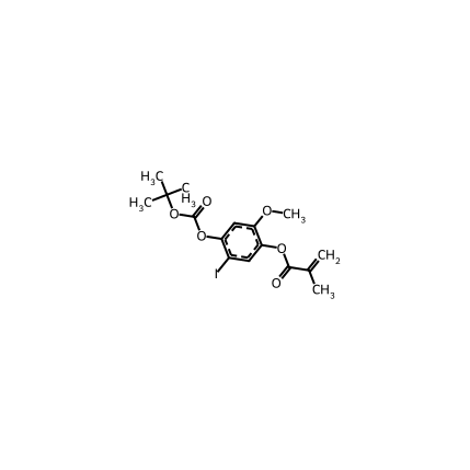 C=C(C)C(=O)Oc1cc(I)c(OC(=O)OC(C)(C)C)cc1OC